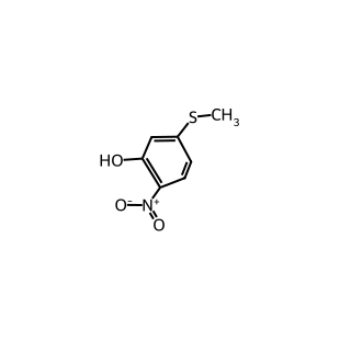 CSc1ccc([N+](=O)[O-])c(O)c1